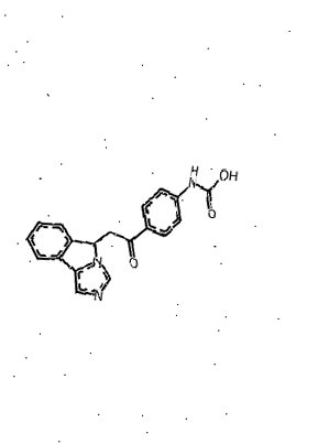 O=C(O)Nc1ccc(C(=O)CC2c3ccccc3-c3cncn32)cc1